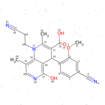 COc1cc(C#N)ccc1C1C(C(=O)O)=C(C)N(CCC#N)c2c(C)cnc(O)c21